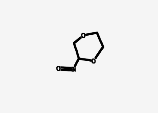 [O]=[Bi][CH]1COCCO1